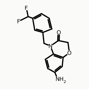 Nc1ccc2c(c1)OCC(=O)N2Cc1cccc(C(F)F)c1